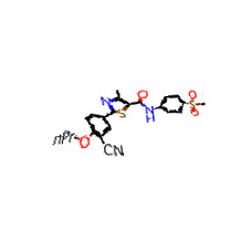 CCCOc1ccc(-c2nc(C)c(C(=O)Nc3ccc(S(C)(=O)=O)cc3)s2)cc1C#N